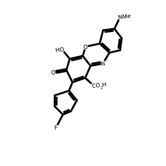 CNc1ccc2nc3c(C(=O)O)c(-c4ccc(F)cc4)c(=O)c(O)c-3oc2c1